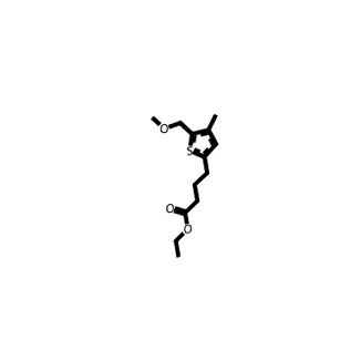 CCOC(=O)CCCc1cc(C)c(COC)s1